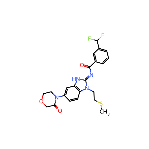 CSCCn1/c(=N/C(=O)c2cccc(C(F)F)c2)[nH]c2cc(N3CCOCC3=O)ccc21